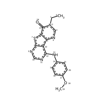 CCn1cnc2c(sc3ncnc(Nc4ccc(OC)cc4)c32)c1=O